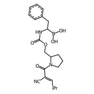 CC(C)C=C(C#N)C(=O)N1CCCC1COC(=O)NC(Cc1ccccc1)B(O)O